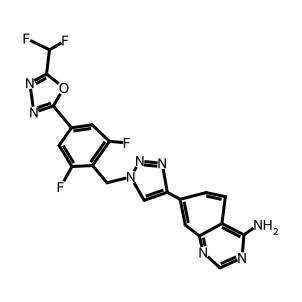 Nc1ncnc2cc(-c3cn(Cc4c(F)cc(-c5nnc(C(F)F)o5)cc4F)nn3)ccc12